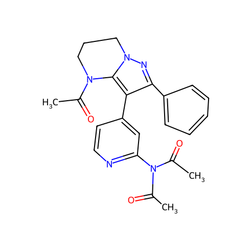 CC(=O)N1CCCn2nc(-c3ccccc3)c(-c3ccnc(N(C(C)=O)C(C)=O)c3)c21